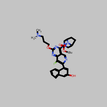 CN(C)CCCOc1nc(N2CC3CCC(C2)N3C(=O)OC(C)(C)C)c2cnc(-c3cc(O)cc4ccccc34)c(F)c2n1